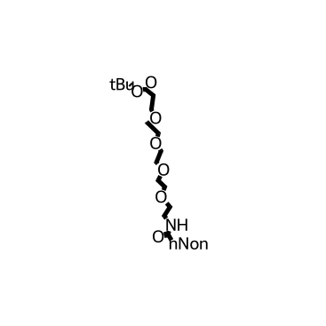 CCCCCCCCCC(=O)NCCOCCOCCOCCOCCC(=O)OC(C)(C)C